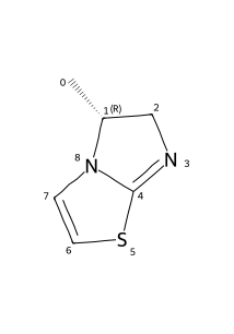 C[C@@H]1CN=C2SC=CN21